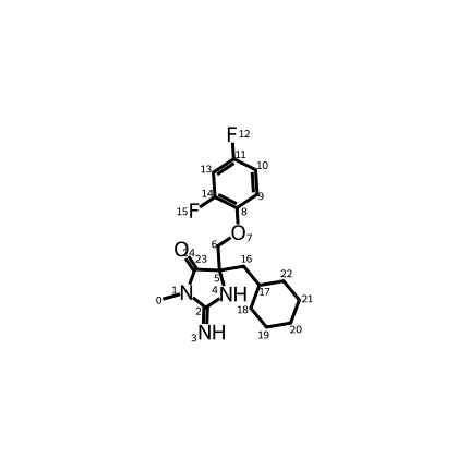 CN1C(=N)NC(COc2ccc(F)cc2F)(CC2CCCCC2)C1=O